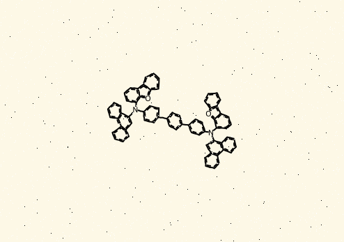 c1ccc2c(c1)cc(N(c1ccc(-c3ccc(-c4ccc(N(c5cc6ccccc6c6ccccc56)c5cccc6c5oc5ccccc56)cc4)cc3)cc1)c1cccc3c1oc1ccccc13)c1ccccc12